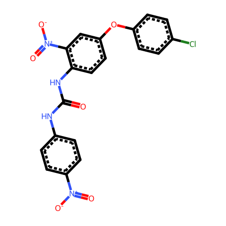 O=C(Nc1ccc([N+](=O)[O-])cc1)Nc1ccc(Oc2ccc(Cl)cc2)cc1[N+](=O)[O-]